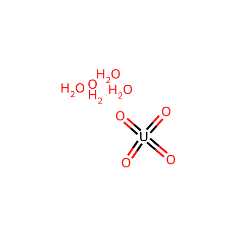 O.O.O.O.[O]=[U](=[O])(=[O])=[O]